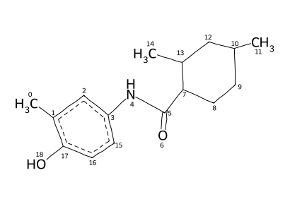 Cc1cc(NC(=O)C2CCC(C)CC2C)ccc1O